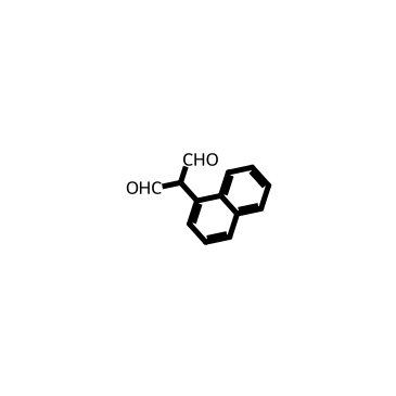 O=CC(C=O)c1cccc2ccccc12